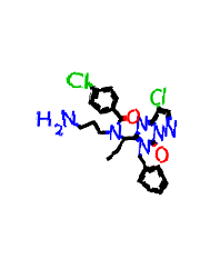 CCC(c1nc2c(Cl)cnn2c(=O)n1Cc1ccccc1)N(CCCN)C(=O)c1ccc(Cl)cc1